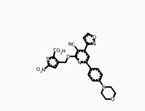 N#Cc1c(-c2ccon2)cc(-c2ccc(N3CCOCC3)cc2)nc1OCc1cc([N+](=O)[O-])sc1C(=O)O